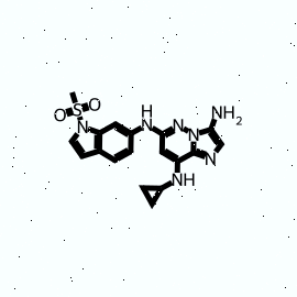 CS(=O)(=O)n1ccc2ccc(Nc3cc(NC4CC4)c4ncc(N)n4n3)cc21